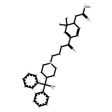 COC(=O)CC1C=CC(C(=O)CCCN2CCC(C(O)(c3ccccc3)c3ccccc3)CC2)=CC1(C)C